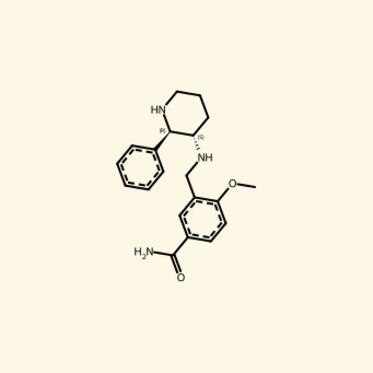 COc1ccc(C(N)=O)cc1CN[C@H]1CCCN[C@@H]1c1ccccc1